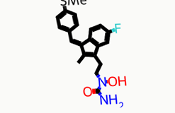 CSc1ccc(/C=C2/C(C)=C(CCN(O)C(N)=O)c3cc(F)ccc32)cc1